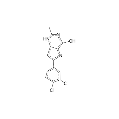 Cc1nc(O)c2nc(-c3ccc(Cl)c(Cl)c3)cc-2[nH]1